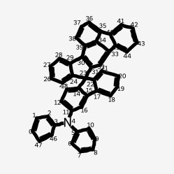 c1ccc(N(c2ccccc2)c2ccc3c(c2)-c2ccccc2C32c3ccccc3-c3c2cc2c4c(cccc34)-c3ccccc3-2)cc1